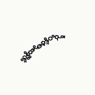 Cc1cc(O[C@H]2CC[C@H](NC(=O)c3ccc(N4CCN(CC(=O)N5Cc6cc7c(cc6C5)C(=O)N(C5CCC(=O)NC5=O)C7=O)CC4)nc3)CC2)ccc1CC#N